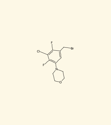 Fc1c(CBr)cc(N2CCOCC2)c(F)c1Cl